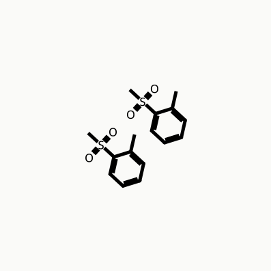 Cc1ccccc1S(C)(=O)=O.Cc1ccccc1S(C)(=O)=O